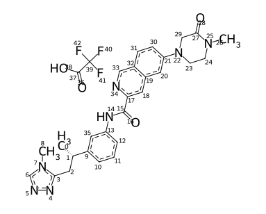 C[C@@H](Cc1nncn1C)c1cccc(NC(=O)c2cc3cc(N4CCN(C)C(=O)C4)ccc3cn2)c1.O=C(O)C(F)(F)F